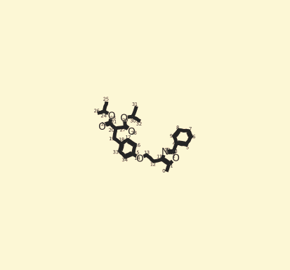 Cc1oc(-c2ccccc2)nc1CCOc1ccc(CC(C(=O)OC(C)C)C(=O)OC(C)C)cc1